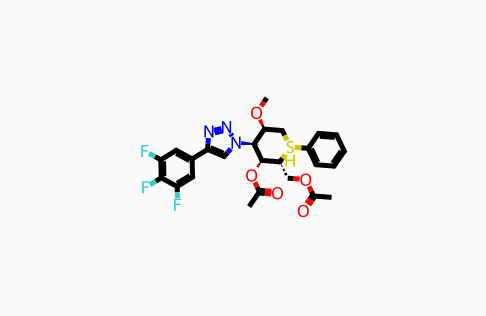 CO[C@H]1C[SH](c2ccccc2)[C@H](COC(C)=O)[C@H](OC(C)=O)[C@H]1n1cc(-c2cc(F)c(F)c(F)c2)nn1